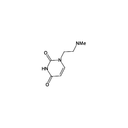 CNCCn1ccc(=O)[nH]c1=O